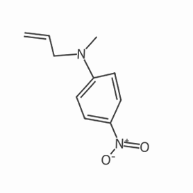 C=CCN(C)c1ccc([N+](=O)[O-])cc1